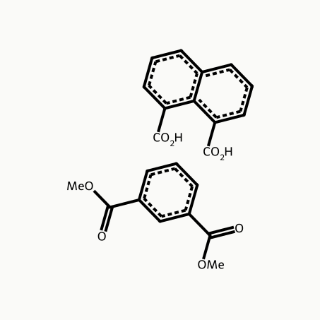 COC(=O)c1cccc(C(=O)OC)c1.O=C(O)c1cccc2cccc(C(=O)O)c12